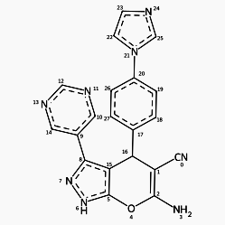 N#CC1=C(N)Oc2[nH]nc(-c3cncnc3)c2C1c1ccc(-n2ccnc2)cc1